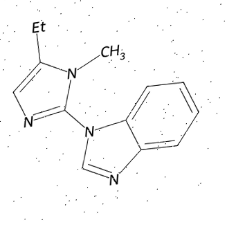 CCc1cnc(-n2cnc3ccccc32)n1C